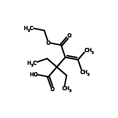 CCOC(=O)C(=C(C)C)C(CC)(CC)C(=O)O